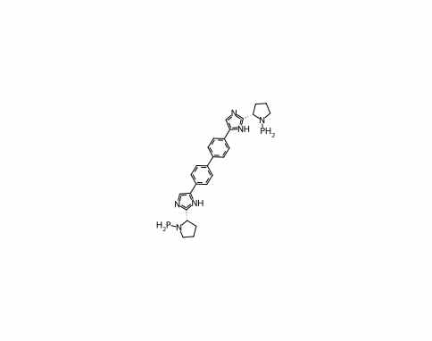 PN1CCC[C@H]1c1ncc(-c2ccc(-c3ccc(-c4cnc([C@@H]5CCCN5P)[nH]4)cc3)cc2)[nH]1